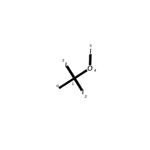 CC(I)(I)OI